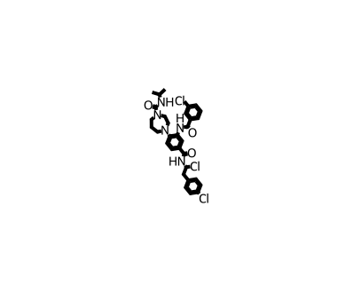 CC(C)NC(=O)N1CCCN(c2ccc(C(=O)NC(Cl)Cc3ccc(Cl)cc3)cc2NC(=O)c2cccc(Cl)c2)CC1